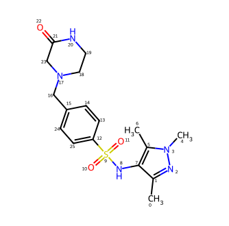 Cc1nn(C)c(C)c1NS(=O)(=O)c1ccc(CN2CCNC(=O)C2)cc1